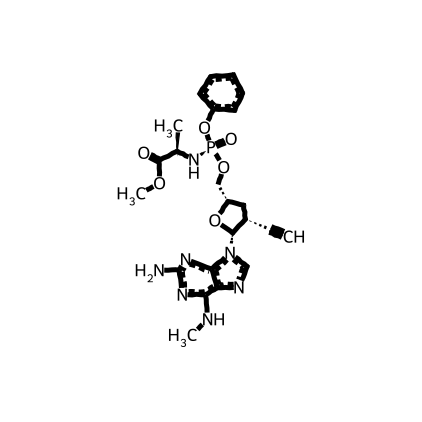 C#C[C@H]1C[C@@H](CO[P@@](=O)(N[C@H](C)C(=O)OC)Oc2ccccc2)O[C@H]1n1cnc2c(NC)nc(N)nc21